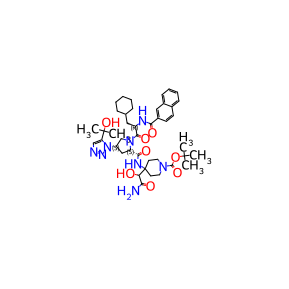 CC(C)(C)OC(=O)N1CCC(NC(=O)[C@@H]2C[C@H](n3nncc3C(C)(C)O)CN2C(=O)[C@@H](CC2CCCCC2)NC(=O)c2ccc3ccccc3c2)(C(O)C(N)=O)CC1